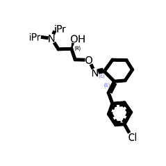 CC(C)N(C[C@@H](O)CO/N=C1\CCCC\C1=C/c1ccc(Cl)cc1)C(C)C